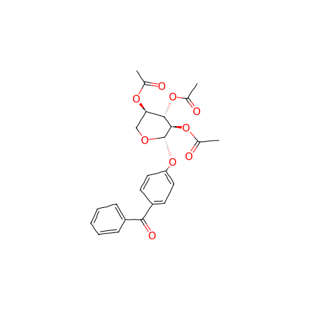 CC(=O)O[C@@H]1[C@@H](OC(C)=O)[C@H](Oc2ccc(C(=O)c3ccccc3)cc2)OC[C@H]1OC(C)=O